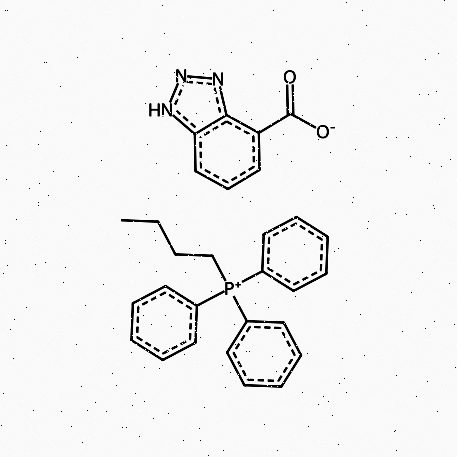 CCCC[P+](c1ccccc1)(c1ccccc1)c1ccccc1.O=C([O-])c1cccc2[nH]nnc12